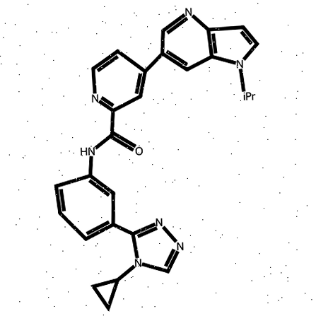 CC(C)n1ccc2ncc(-c3ccnc(C(=O)Nc4cccc(-c5nncn5C5CC5)c4)c3)cc21